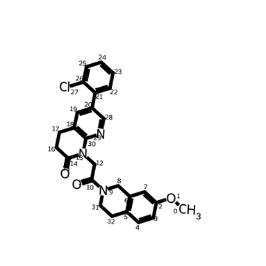 COc1ccc2c(c1)CN(C(=O)CN1C(=O)CCc3cc(-c4ccccc4Cl)cnc31)CC2